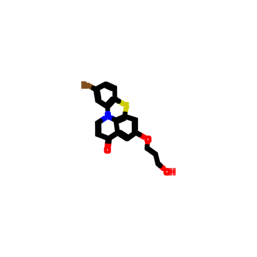 O=c1ccn2c3c(cc(OCCCO)cc13)Sc1ccc(Br)cc1-2